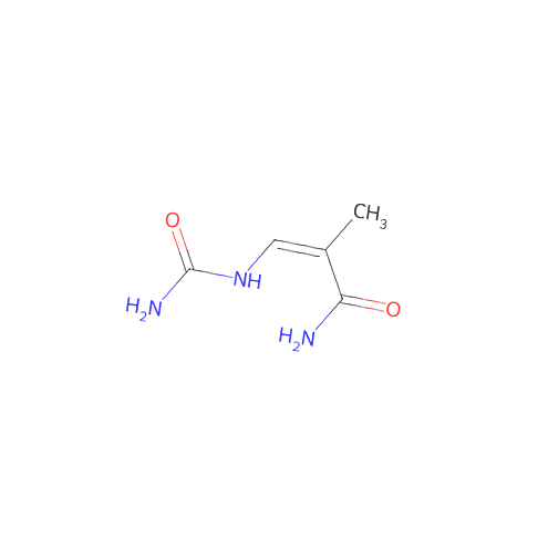 CC(=CNC(N)=O)C(N)=O